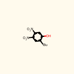 CCC(C)c1cc([N+](=O)[O-])c([N+](=O)[O-])cc1O